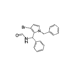 O=CNC(c1ccccc1)c1c(Br)ccn1Cc1ccccc1